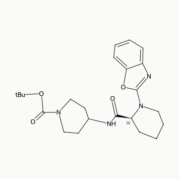 CC(C)(C)OC(=O)N1CCC(NC(=O)[C@@H]2CCCCN2c2nc3ccccc3o2)CC1